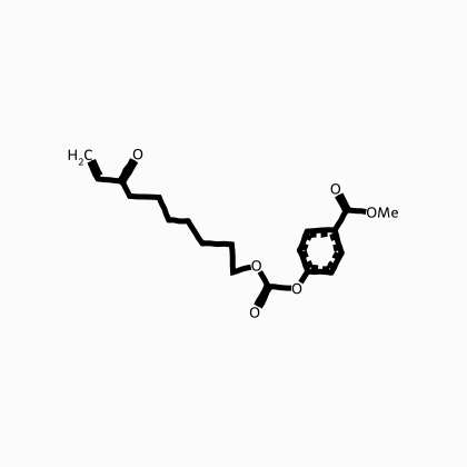 C=CC(=O)CCCCCCCOC(=O)Oc1ccc(C(=O)OC)cc1